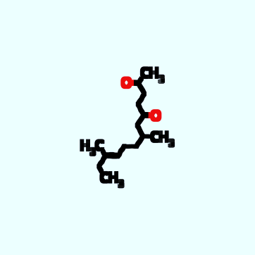 CCC(C)=CCCC(C)CC(=O)CCC(C)=O